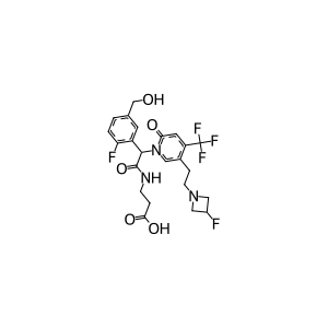 O=C(O)CCNC(=O)C(c1cc(CO)ccc1F)n1cc(CCN2CC(F)C2)c(C(F)(F)F)cc1=O